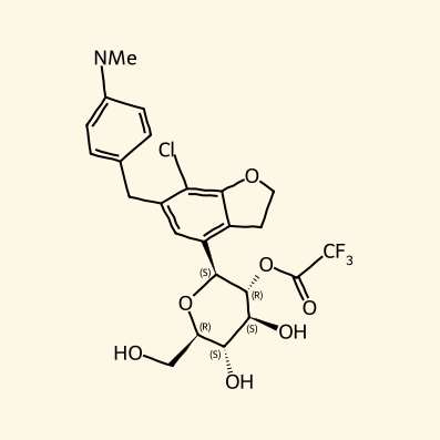 CNc1ccc(Cc2cc([C@@H]3O[C@H](CO)[C@@H](O)[C@H](O)[C@H]3OC(=O)C(F)(F)F)c3c(c2Cl)OCC3)cc1